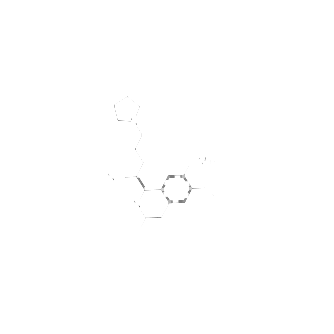 CCOc1cc2c(cc1OC)/C(=C(/C#N)CCCN1CCCC1)NC(CC)C2